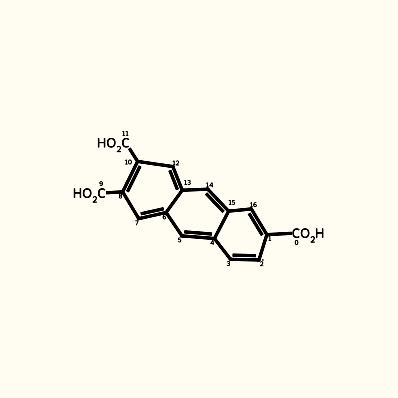 O=C(O)c1[c]cc2cc3cc(C(=O)O)c(C(=O)O)cc3cc2c1